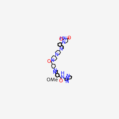 COc1cc2nn(C3CCC(C(=O)N4CCC(N5CCC(n6ccc7c(N8CCC(=O)NC8=O)cccc76)CC5)CC4)CC3)cc2cc1C(=O)Nc1cnc2cccnn12